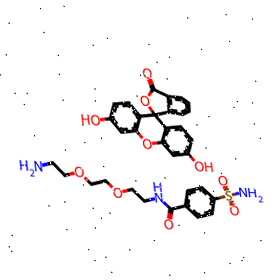 NCCOCCOCCNC(=O)c1ccc(S(N)(=O)=O)cc1.O=C1OC2(c3ccc(O)cc3Oc3cc(O)ccc32)c2ccccc21